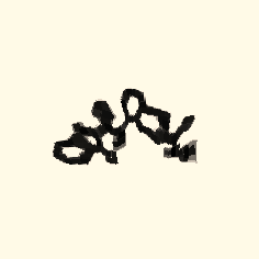 O=C(NO)c1ccc2c(c1)CCCC2NC(=O)c1sc2ccccc2c1Cl